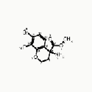 COC(=O)C1(N)CCOc2c1ccc(Br)c2F